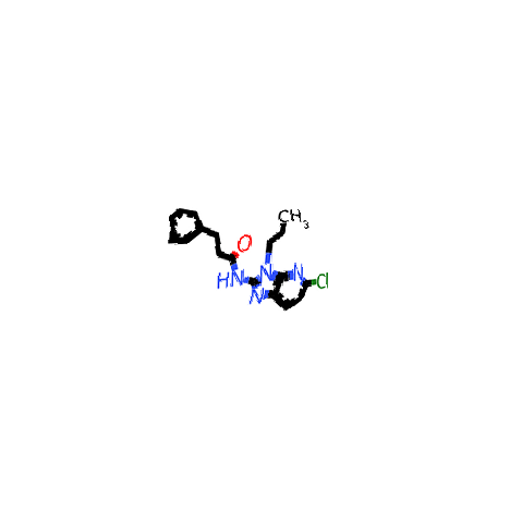 CCCn1c(NC(=O)CCc2ccccc2)nc2ccc(Cl)nc21